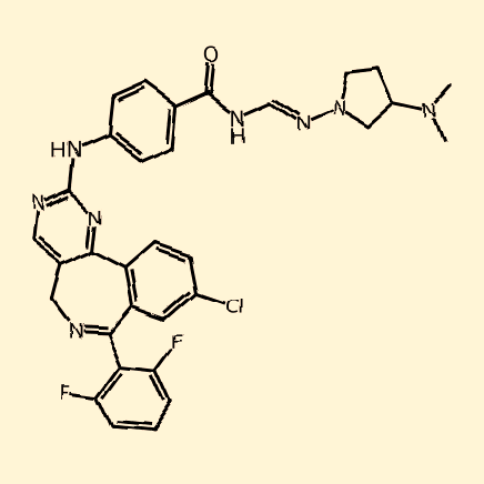 CN(C)C1CCN(N=CNC(=O)c2ccc(Nc3ncc4c(n3)-c3ccc(Cl)cc3C(c3c(F)cccc3F)=NC4)cc2)C1